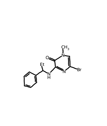 CCC(Nc1nc(Br)cn(C)c1=O)c1ccccc1